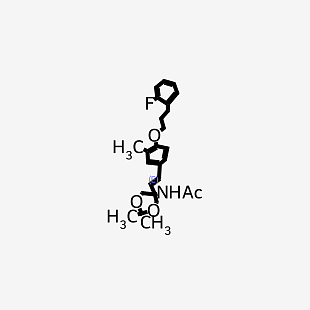 CC(=O)NC1(/C=C/c2ccc(OCCCc3ccccc3F)c(C)c2)COC(C)(C)OC1